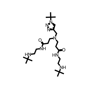 CC(C)(C)NCCNC(=O)CCN(CCC(=O)NCCNC(C)(C)C)Cc1cn(C(C)(C)C)nn1